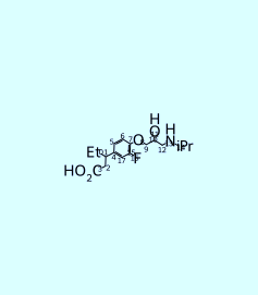 CCC(CC(=O)O)c1ccc(OCC(O)CNC(C)C)c(F)c1